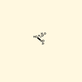 O.O.O=NO.[Zr]